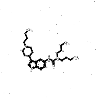 CCCCN1CCC(c2csc3ccc(NC(=O)N(CCCC)CCCC)cc23)CC1